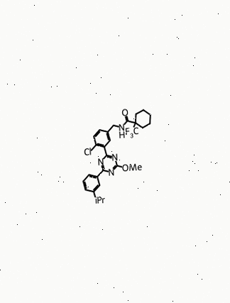 COc1nc(-c2cccc(C(C)C)c2)nc(-c2cc(CNC(=O)C3(C(F)(F)F)CCCCC3)ccc2Cl)n1